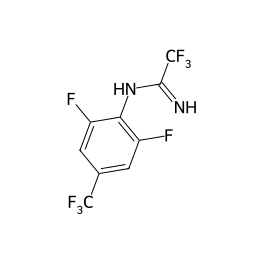 N=C(Nc1c(F)cc(C(F)(F)F)cc1F)C(F)(F)F